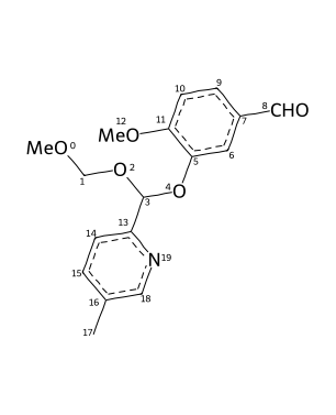 COCOC(Oc1cc(C=O)ccc1OC)c1ccc(C)cn1